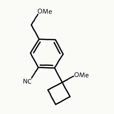 COCc1ccc(C2(OC)CCC2)c(C#N)c1